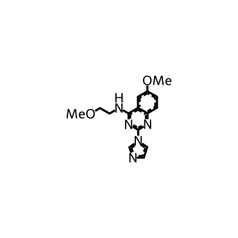 COCCNc1nc(-n2ccnc2)nc2ccc(OC)cc12